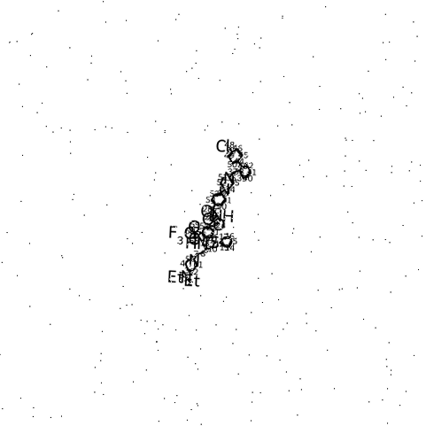 CCN(CC)C1CCN(CC[C@H](CSc2ccccc2)Nc2ccc(S(=O)(=O)NC(=O)c3ccc(N4CCN(Cc5ccccc5-c5ccc(Cl)cc5)CC4)cc3)cc2S(=O)(=O)C(F)(F)F)CC1